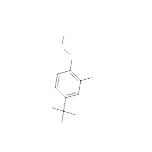 Cc1cc(C(F)(F)F)ccc1OBO